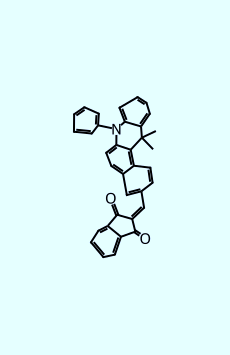 CC1(C)c2ccccc2N(c2ccccc2)c2ccc3cc(C=C4C(=O)c5ccccc5C4=O)ccc3c21